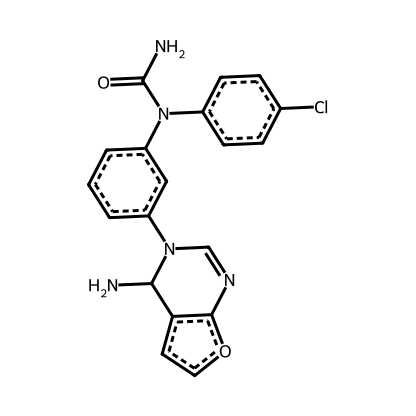 NC(=O)N(c1ccc(Cl)cc1)c1cccc(N2C=Nc3occc3C2N)c1